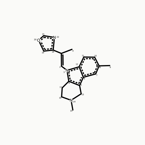 C/C(=C\n1c2c(c3cc(C)ccc31)CN(C)CC2)c1cocn1